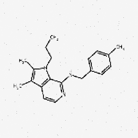 CCCn1c(C)c(C)c2ccnc(NCc3ccc(C)cc3)c21